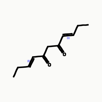 CC/C=C/C(=O)CC(=O)/C=C/CC